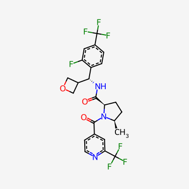 C[C@@H]1CC[C@H](C(=O)N[C@@H](c2ccc(C(F)(F)F)cc2F)C2COC2)N1C(=O)c1ccnc(C(F)(F)F)c1